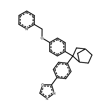 c1ccc(COc2ccc(C3(c4ccc(-c5nnco5)cc4)CC4CCC3C4)cc2)nc1